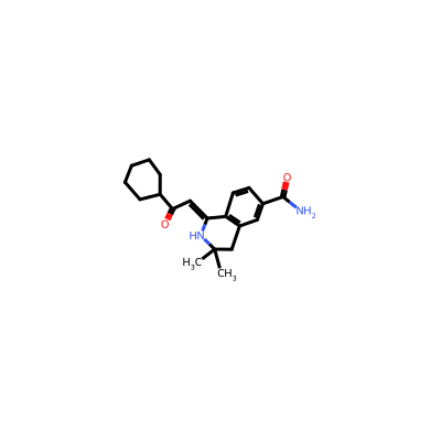 CC1(C)Cc2cc(C(N)=O)ccc2C(=CC(=O)C2CCCCC2)N1